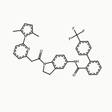 Cc1ccc(C)n1-c1cccc(CC(=O)N2CCc3cc(NC(=O)c4ccccc4-c4ccc(C(F)(F)F)cc4)ccc32)n1